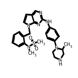 CC1CNCCN1c1ccc(Nc2ncc3ccn(Cc4ccccc4N(C)S(C)(=O)=O)c3n2)cc1